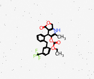 CCOC(=O)OC1=C(C)NC2=C(C(=O)OC2)C1c1ccccc1Cc1cccc(C(F)(F)F)c1